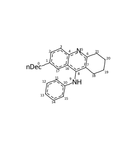 CCCCCCCCCCc1ccc2nc3c(c(Nc4ccccc4)c2c1)CCCC3